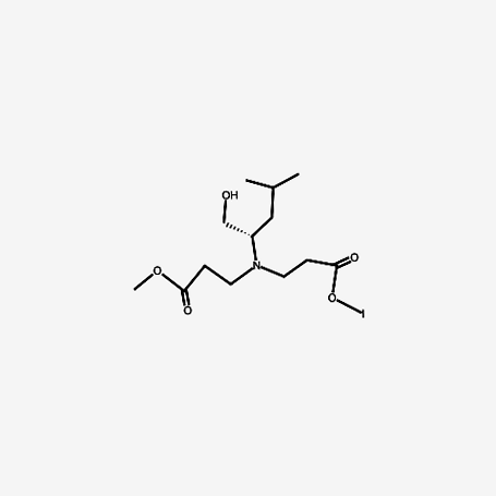 COC(=O)CCN(CCC(=O)OI)[C@H](CO)CC(C)C